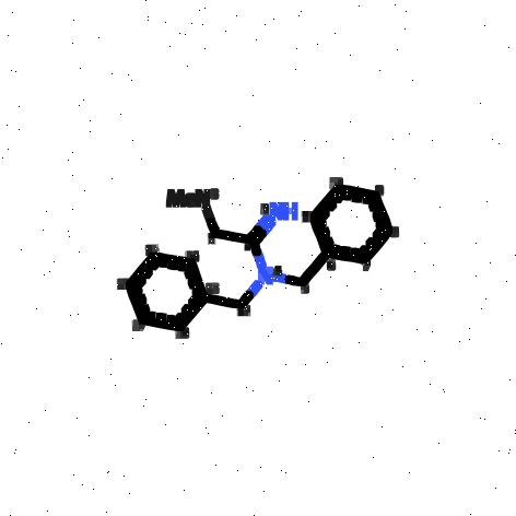 CNCC(=N)N(Cc1ccccc1)Cc1ccccc1